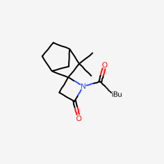 CCC(C)C(=O)N1C(=O)CC12C1CCC(C1)C2(C)C